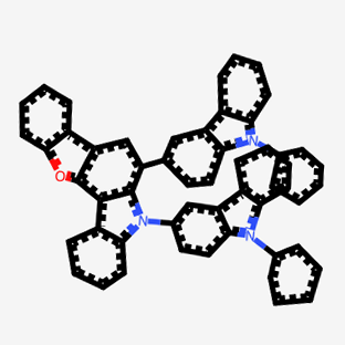 c1ccc(-n2c3ccccc3c3cc(-c4cc5c6ccccc6oc5c5c6ccccc6n(-c6ccc7c(c6)c6ccccc6n7-c6ccccc6)c45)ccc32)cc1